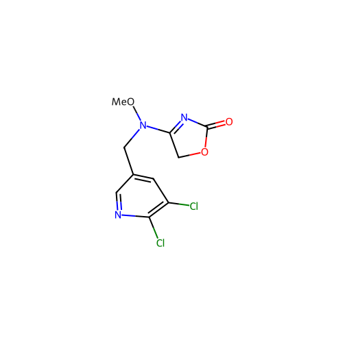 CON(Cc1cnc(Cl)c(Cl)c1)C1=NC(=O)OC1